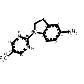 Nc1ccc2c(c1)CCN2c1ncc(C(F)(F)F)cn1